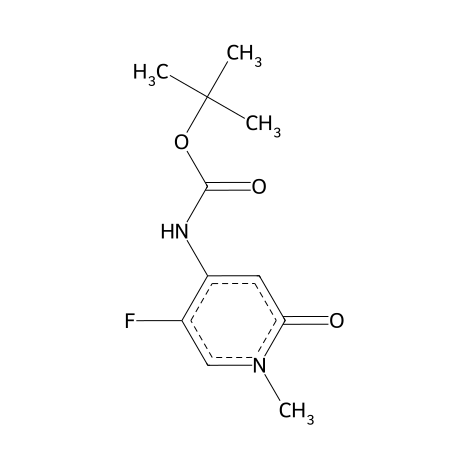 Cn1cc(F)c(NC(=O)OC(C)(C)C)cc1=O